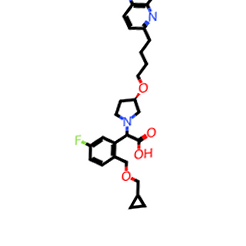 O=C(O)C(c1cc(F)ccc1COCC1CC1)N1CC[C@@H](OCCCCc2ccc3c(n2)CCCN3)C1